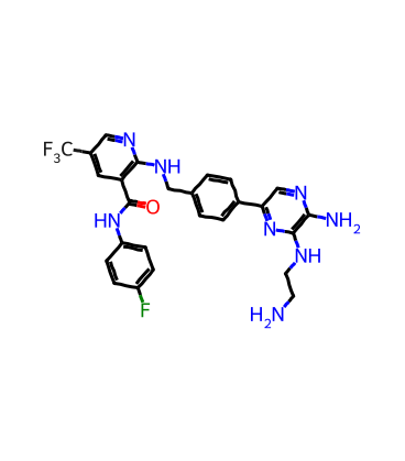 NCCNc1nc(-c2ccc(CNc3ncc(C(F)(F)F)cc3C(=O)Nc3ccc(F)cc3)cc2)cnc1N